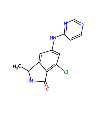 CC1NC(=O)c2c(Cl)cc(Nc3ccncn3)cc21